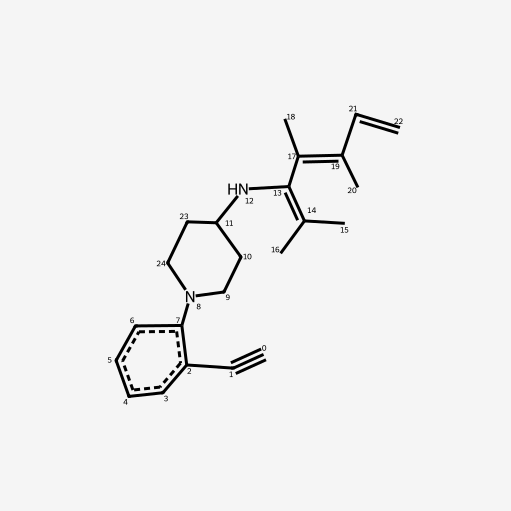 C#Cc1ccccc1N1CCC(NC(=C(C)C)/C(C)=C(\C)C=C)CC1